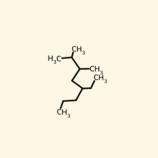 CCCC(CC)CC(C)C(C)C